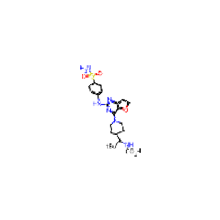 CC(C)(C)C(NC(=O)O)C1CCN(c2nc(Nc3ccc(S(N)(=O)=O)cc3)nc3ccoc23)CC1